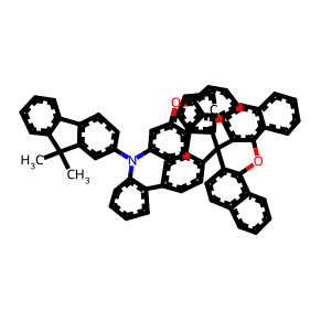 CC1(C)c2ccccc2-c2ccc(N(c3ccc4c(c3)oc3ccccc34)c3ccccc3-c3ccc4c(c3)-c3ccccc3C43c4ccc5ccccc5c4Oc4c3ccc3ccccc43)cc21